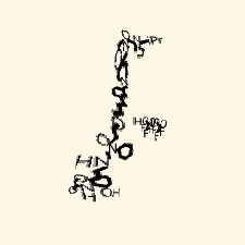 CC(C)c1nc(C(=O)N2CCOC3(CCN(Cc4cccc(CCCCOCCC(=O)N(CCNCCc5ccc(O)c6c5OCC(=O)N6)C5CCCCC5)c4)CC3)C2)cs1.O=C(O)C(F)(F)F.O=C(O)C(F)(F)F